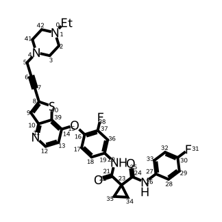 CCN1CCN(CC#Cc2cc3nccc(Oc4ccc(NC(=O)C5(C(=O)Nc6ccc(F)cc6)CC5)cc4F)c3s2)CC1